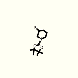 CC1(C)OB(N2CCCC(F)C2)OC1(C)C